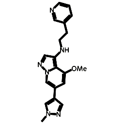 COc1cc(-c2cnn(C)c2)cn2ncc(NCCc3cccnc3)c12